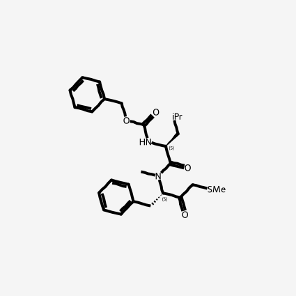 CSCC(=O)[C@H](Cc1ccccc1)N(C)C(=O)[C@H](CC(C)C)NC(=O)OCc1ccccc1